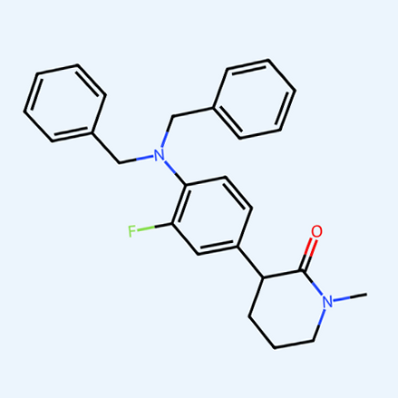 CN1CCCC(c2ccc(N(Cc3ccccc3)Cc3ccccc3)c(F)c2)C1=O